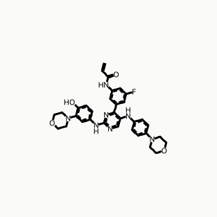 C=CC(=O)Nc1cc(F)cc(-c2nc(Nc3ccc(O)c(N4CCOCC4)c3)ncc2Nc2ccc(N3CCOCC3)cc2)c1